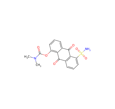 CN(C)C(=O)Oc1cccc2c1C(=O)c1cccc(S(N)(=O)=O)c1C2=O